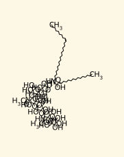 CCCCCCCC/C=C\CCCCCCCCCCCCCCCC(=O)N[C@@H](CO[C@@H]1OC(CO)[C@@H](O[C@@H]2OC(CO)[C@H](O)[C@H](O[C@@H]3OC(CO)[C@@H](O[C@@H]4OC(CO)[C@H](O)[C@H](O[C@@H]5OC(CO)[C@@H](O[C@@H]6OC(CO)[C@H](O)[C@H](O)C6O)[C@H](O)C5NC(C)=O)C4O)[C@H](O)C3NC(C)=O)C2O)[C@H](O)C1O)[C@H](O)/C=C/CCCCCCCCCCCCC